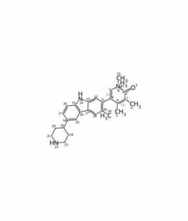 C/C(C=O)=C(C)/C(=C\N(C)C)c1cc2[nH]c3ccc(C4CCNCC4)cc3c2cc1C